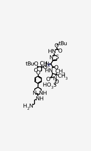 CC(C)(C)OC(=O)Nc1nc(/C(=N/O[C@@](C)(COc2ccc(C3CN=C(NCCN)NC3)cc2)C(=O)OC(C)(C)C)C(=O)NC2C(=O)N(OS(=O)(=O)O)C2(C)C)cs1